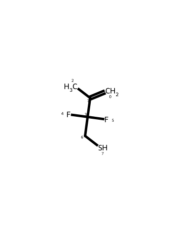 C=C(C)C(F)(F)CS